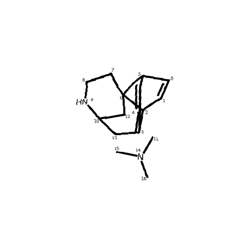 C1=CC2=C3C=C1C21CCNC(C3)C1.CN(C)C